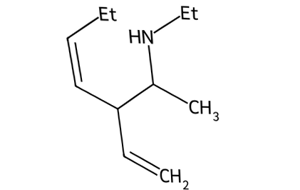 C=CC(/C=C\CC)C(C)NCC